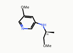 COC[C@H](C)Nc1cncc(OC)c1